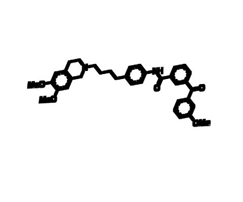 COc1cccc(C(=O)c2cccc(C(=O)Nc3ccc(CCCCN4CCc5cc(OC)c(OC)cc5C4)cc3)c2)c1